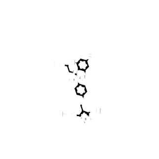 Cc1noc(C)c1COc1ccc(S(=O)(=O)N(CC(C)C)c2ccc(F)cc2F)cc1